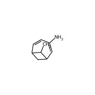 CC1C2C=CC(N)=CC1C2